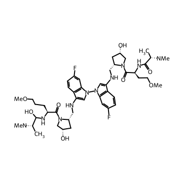 CN[C@@H](C)C(=O)N[C@@H](CCOC)C(=O)N1C[C@@H](O)C[C@H]1CNc1cn(-n2cc(NC[C@@H]3C[C@H](O)CN3C(=O)[C@H](CCCOC)NC(O)[C@H](C)NC)c3ccc(F)cc32)c2cc(F)ccc12